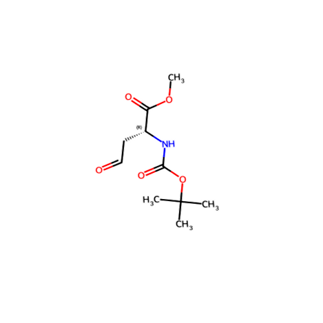 COC(=O)[C@@H](CC=O)NC(=O)OC(C)(C)C